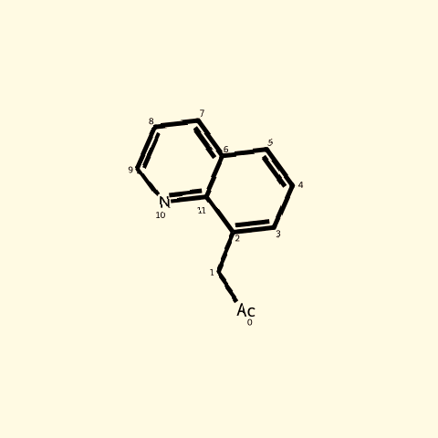 CC(=O)Cc1cccc2cc[c]nc12